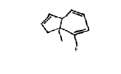 CC12CC=CC1C=CC=C2F